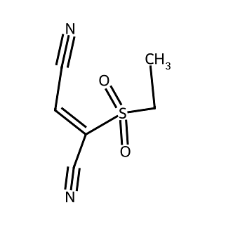 CCS(=O)(=O)/C(C#N)=C\C#N